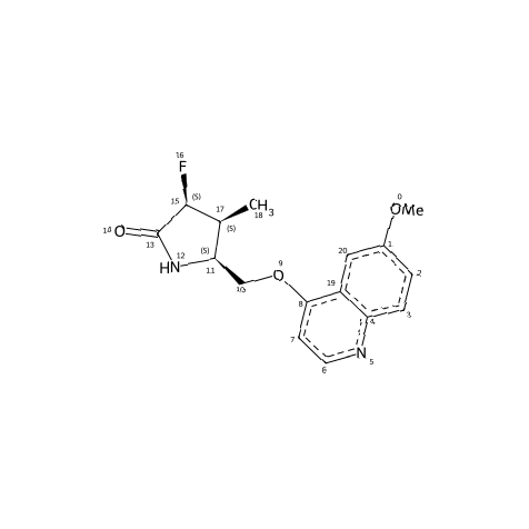 COc1ccc2nccc(OC[C@H]3NC(=O)[C@@H](F)[C@H]3C)c2c1